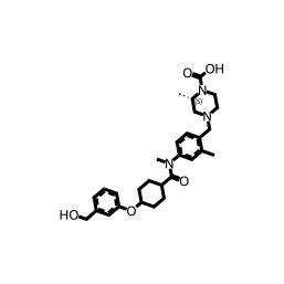 Cc1cc(N(C)C(=O)C2CCC(Oc3cccc(CO)c3)CC2)ccc1CN1CCN(C(=O)O)[C@@H](C)C1